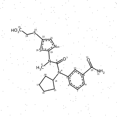 CN(C(=O)N(c1cccc(C(N)=O)c1)C1CCCC1)c1ncc(SCC(=O)O)s1